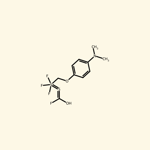 CN(C)c1ccc(OCS(F)(F)(F)=S=C(O)F)cc1